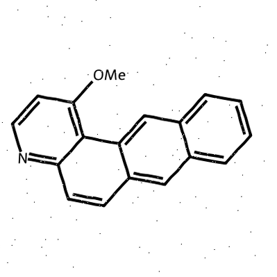 COc1ccnc2ccc3cc4ccccc4cc3c12